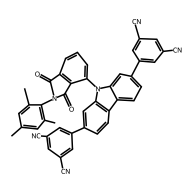 Cc1cc(C)c(N2C(=O)c3cccc(-n4c5cc(-c6cc(C#N)cc(C#N)c6)ccc5c5ccc(-c6cc(C#N)cc(C#N)c6)cc54)c3C2=O)c(C)c1